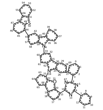 c1ccc(-c2nc(-c3ccccc3)nc(-c3cccc4c3oc3c(-n5c6ccccc6c6cc(-n7c8ccccc8c8cc(-c9cccc%10c9sc9ccccc9%10)ccc87)ccc65)cccc34)n2)cc1